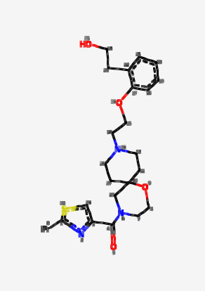 CC(C)c1nc(C(=O)N2CCOC3(CCN(CCOc4ccccc4CCO)CC3)C2)cs1